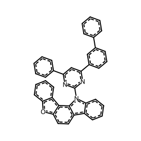 c1ccc(-c2cccc(-c3cc(-c4ccccc4)nc(-n4c5ccccc5c5ccc6oc7ccccc7c6c54)n3)c2)cc1